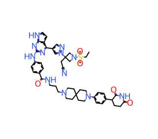 CCS(=O)(=O)N1CC(CC#N)(n2cc(-c3nc(Nc4ccc(C(=O)NCCCN5CCC6(CC5)CCN(c5ccc(C7CCC(=O)NC7=O)cc5)CC6)cc4)nc4[nH]ccc34)cn2)C1